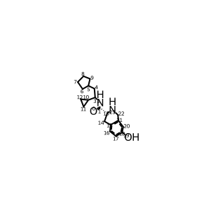 O=C(NC(CC1CCCC1)C1CC1)[C@H]1Cc2ccc(O)cc2CN1